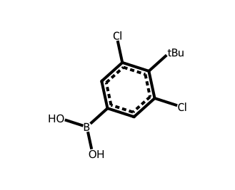 CC(C)(C)c1c(Cl)cc(B(O)O)cc1Cl